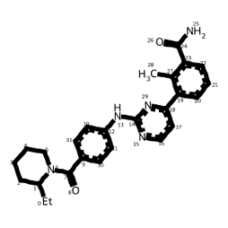 CCC1CCCCN1C(=O)c1ccc(Nc2nccc(-c3cccc(C(N)=O)c3C)n2)cc1